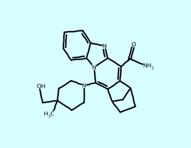 CC1(CO)CCN(c2c3c(c(C(N)=O)c4nc5ccccc5n24)C2CCC3C2)CC1